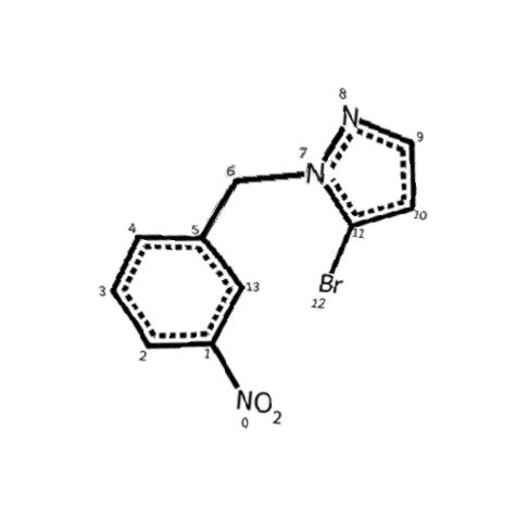 O=[N+]([O-])c1cccc(Cn2nccc2Br)c1